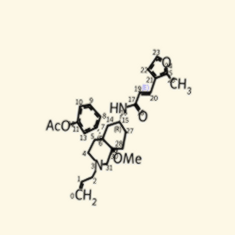 C=CCN1CC[C@@]2(c3cccc(OC(C)=O)c3)C[C@H](NC(=O)/C=C/c3ccoc3C)CC[C@]2(OC)C1